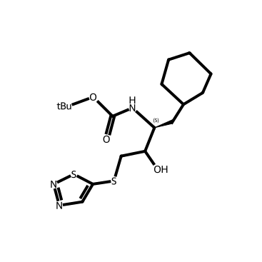 CC(C)(C)OC(=O)N[C@@H](CC1CCCCC1)C(O)CSc1cnns1